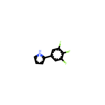 Fc1cc(-c2ccc[nH]2)cc(F)c1F